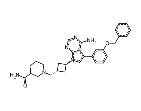 NC(=O)C1CCCN(C[C@H]2C[C@H](n3cc(-c4cccc(OCc5ccccc5)c4)c4c(N)ncnc43)C2)C1